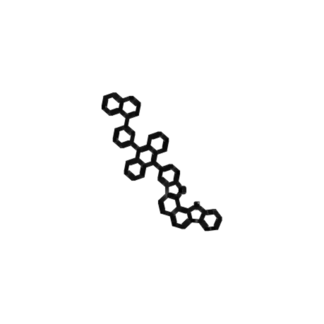 c1cc(-c2cccc3ccccc23)cc(-c2c3ccccc3c(-c3ccc4oc5c(ccc6ccc7c8ccccc8sc7c65)c4c3)c3ccccc23)c1